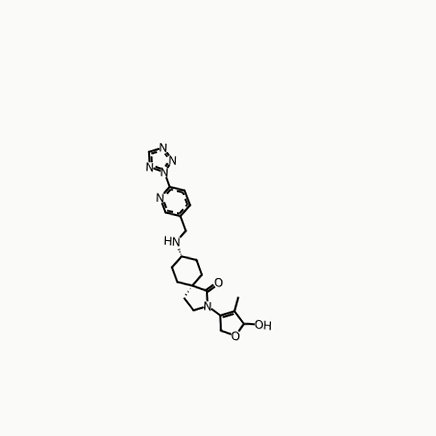 CC1=C(N2CC[C@]3(CC[C@@H](NCc4ccc(-n5ncnn5)nc4)CC3)C2=O)COC1O